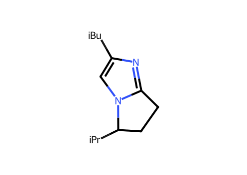 CCC(C)c1cn2c(n1)CCC2C(C)C